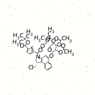 COC(=O)[C@H]1O[C@@H](Oc2cc3c(c4ccccc24)[C@H](CCl)CN3C(=O)c2ccc(C(=O)OC(C)(C)C)s2)[C@H](OC(C)=O)C(OC(C)=O)[C@@H]1OC(C)=O